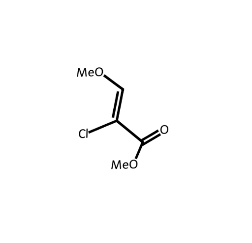 COC=C(Cl)C(=O)OC